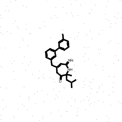 Cc1cccc(-c2cccc(CC3=CC(=N)NC(C)(CC(C)C)C(=O)C3)c2)c1